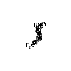 CC(C)C(=O)NC1CCN(c2ccc3cc(-c4noc(CCc5ccc(C(F)(F)F)cc5)n4)ccc3n2)C1